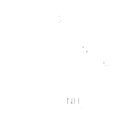 Nc1cccc2c1N(Cl)CS2